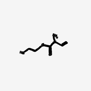 C=CN(N)C(=O)OCCO